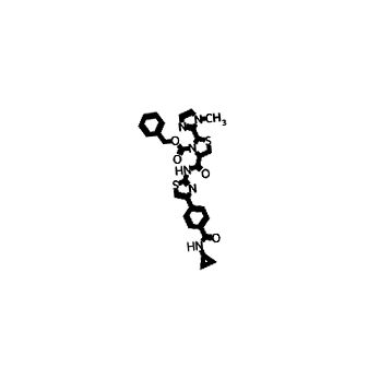 Cn1ccnc1C1SCC(C(=O)Nc2nc(-c3ccc(C(=O)NC4CC4)cc3)cs2)N1C(=O)OCc1ccccc1